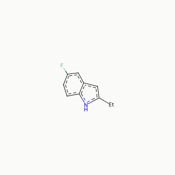 [CH2]Cc1cc2cc(F)ccc2[nH]1